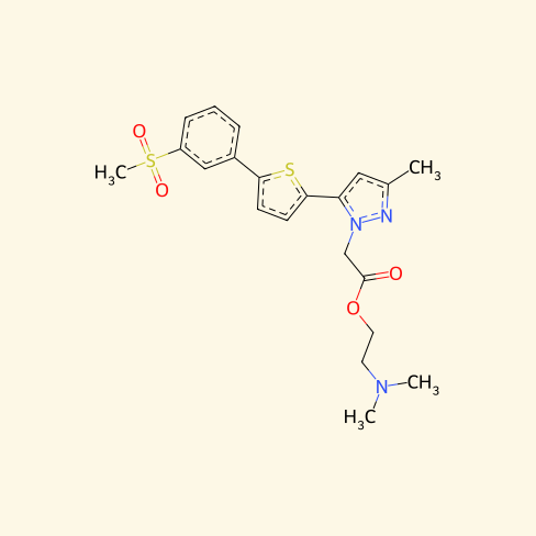 Cc1cc(-c2ccc(-c3cccc(S(C)(=O)=O)c3)s2)n(CC(=O)OCCN(C)C)n1